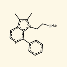 COCCn1c(C)c(C)c2ccnc(-c3ccccc3)c21